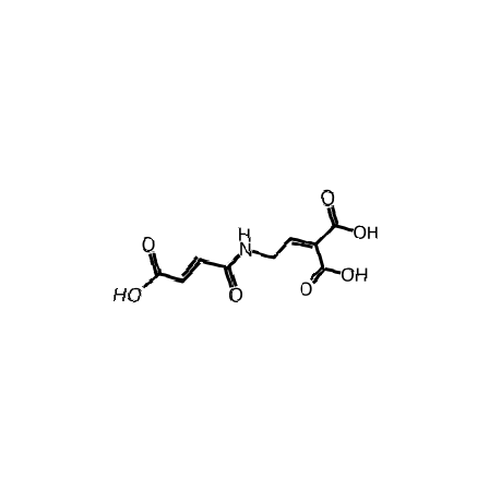 O=C(O)C=CC(=O)NCC=C(C(=O)O)C(=O)O